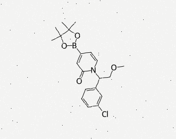 COCC(c1cccc(Cl)c1)n1ccc(B2OC(C)(C)C(C)(C)O2)cc1=O